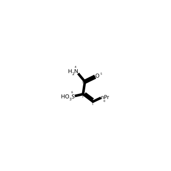 CCC/C=C(\C(N)=O)S(=O)(=O)O